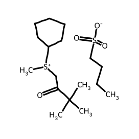 CCCCS(=O)(=O)[O-].C[S+](CC(=O)C(C)(C)C)C1CCCCC1